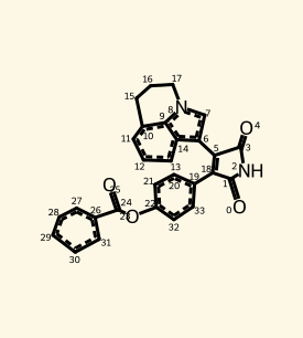 O=C1NC(=O)C(c2cn3c4c(cccc24)CCC3)=C1c1ccc(OC(=O)c2ccccc2)cc1